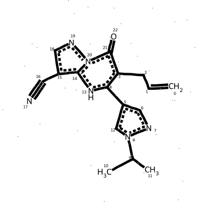 C=CCc1c(-c2cnn(C(C)C)c2)[nH]c2c(C#N)cnn2c1=O